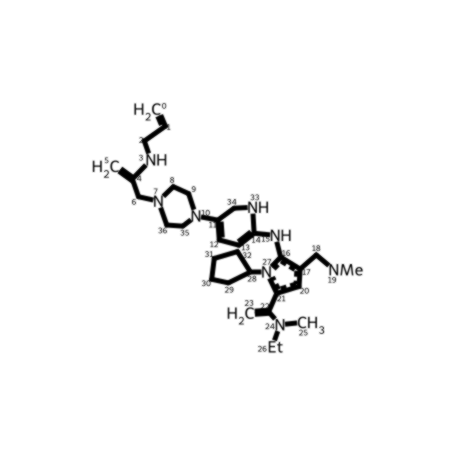 C=CCNC(=C)CN1CCN(C2=CC=C(Nc3c(CNC)cc(C(=C)N(C)CC)n3C3CCCC3)NC2)CC1